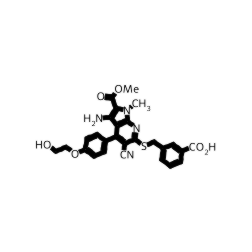 COC(=O)c1c(N)c2c(-c3ccc(OCCO)cc3)c(C#N)c(SCc3cccc(C(=O)O)c3)nc2n1C